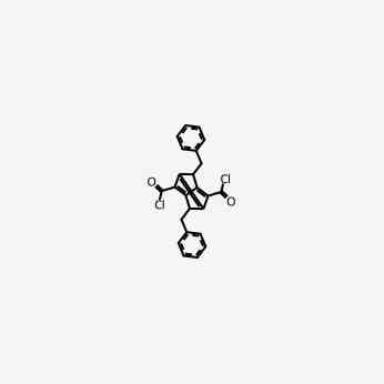 O=C(Cl)C1=C2C3=C(C(=O)Cl)C(=C1C3Cc1ccccc1)C2Cc1ccccc1